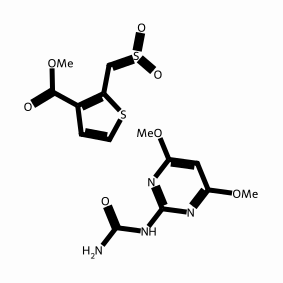 COC(=O)c1ccsc1C=S(=O)=O.COc1cc(OC)nc(NC(N)=O)n1